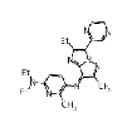 CCc1nc2n(c1-c1cnccn1)N=C(C(F)(F)F)/C2=N/c1ccc(N(CC)CC)nc1C